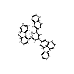 c1ccc2c(c1)-c1cccc3cc(C4=NC(c5ccc6ccccc6c5)NC(c5cccc6oc7ccncc7c56)=N4)cc-2c13